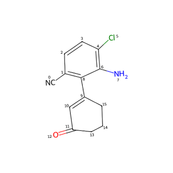 N#Cc1ccc(Cl)c(N)c1C1=CC(=O)CCC1